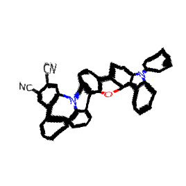 N#Cc1cc(-c2ccccc2)c(-n2c3ccccc3c3c4oc5c(ccc6c5c5ccccc5n6-c5ccccc5)c4ccc32)cc1C#N